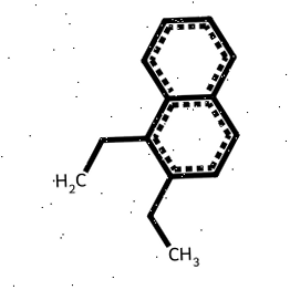 [CH2]Cc1c(CC)ccc2ccccc12